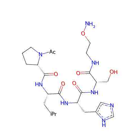 CC(=O)N1CCC[C@H]1C(=O)N[C@@H](CC(C)C)C(=O)N[C@@H](Cc1cnc[nH]1)C(=O)N[C@@H](CO)C(=O)NCCON